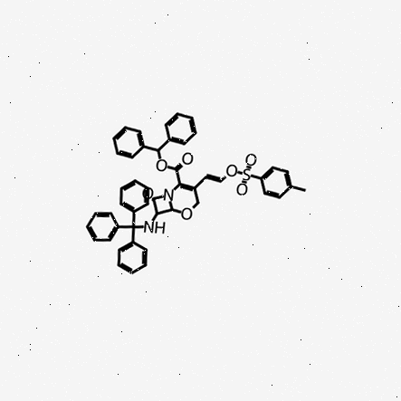 Cc1ccc(S(=O)(=O)O/C=C/C2=C(C(=O)OC(c3ccccc3)c3ccccc3)N3C(=O)C(NC(c4ccccc4)(c4ccccc4)c4ccccc4)C3OC2)cc1